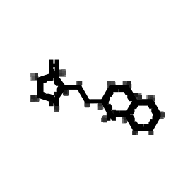 c1ccc2nc(CCc3ncc[nH]3)ccc2c1